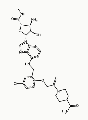 CNC(=O)[C@H]1O[C@@H](n2cnc3c(NCc4cc(Cl)ccc4OCC(=O)N4CCC(C(N)=O)CC4)ncnc32)[C@H](O)[C@@H]1N